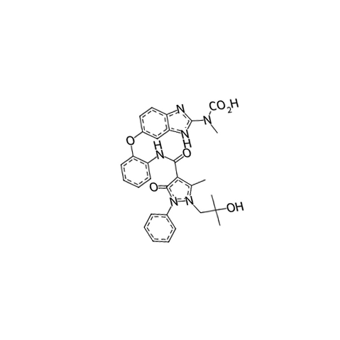 Cc1c(C(=O)Nc2ccccc2Oc2ccc3nc(N(C)C(=O)O)[nH]c3c2)c(=O)n(-c2ccccc2)n1CC(C)(C)O